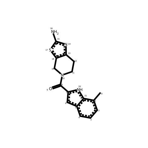 Cc1cccc2cc(C(=O)N3CCc4nc(N)sc4C3)[nH]c12